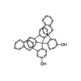 Oc1ccc(C2(c3ccc(O)cc3-c3ccc4ccccc4c3)c3ccccc3-c3ccccc32)c(-c2ccc3ccccc3c2)c1